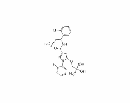 CC(C)(C)C(C)(O)COc1cc(C(=O)NC(CC(=O)O)c2ccccc2Cl)nn1-c1ccccc1F